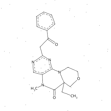 CCC12COCCN1c1nc(CC(=O)c3ccccc3)ncc1N(C)C2=O